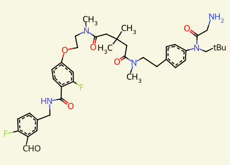 CN(CCOc1ccc(C(=O)NCc2ccc(F)c(C=O)c2)c(F)c1)C(=O)CC(C)(C)CC(=O)N(C)CCc1ccc(N(CC(C)(C)C)C(=O)CN)cc1